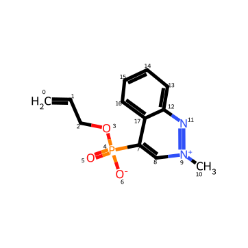 C=CCOP(=O)([O-])c1c[n+](C)nc2ccccc12